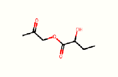 CCC(O)C(=O)OCC(C)=O